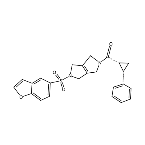 O=C([C@@H]1C[C@@H]1c1ccccc1)N1CC2=C(C1)CN(S(=O)(=O)c1ccc3occc3c1)C2